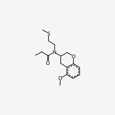 CCC(=O)N(CCSC)C1COc2cccc(OC)c2C1